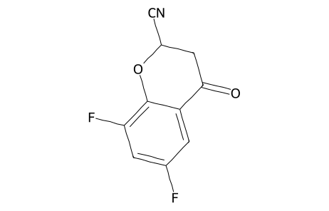 N#CC1CC(=O)c2cc(F)cc(F)c2O1